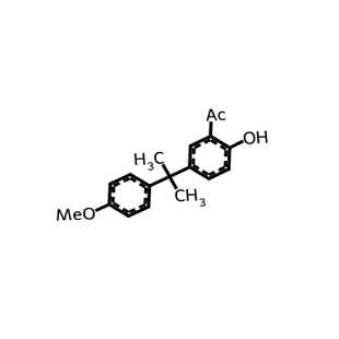 COc1ccc(C(C)(C)c2ccc(O)c(C(C)=O)c2)cc1